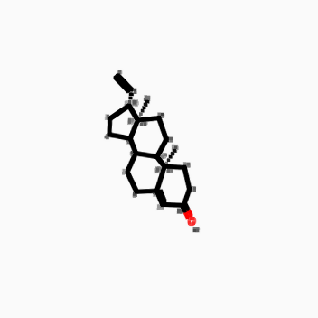 C=C[C@H]1CCC2C3CCC4=CC(=O)CC[C@]4(C)C3CC[C@@]21C